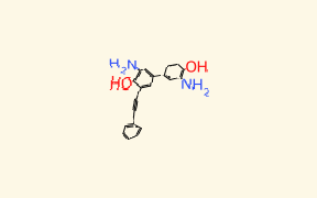 Nc1cc(-c2cc(N)c(O)c(C#Cc3ccccc3)c2)ccc1O